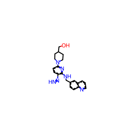 N=Nc1ccc(N2CCC(CO)CC2)nc1NCc1ccc2ncccc2c1